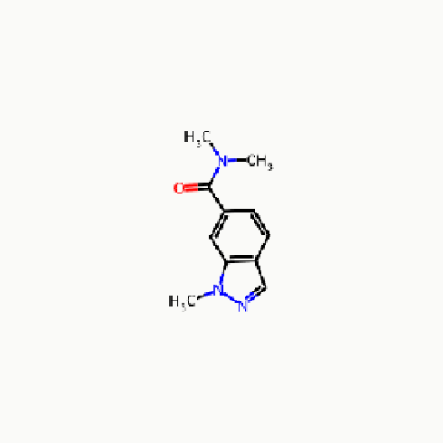 CN(C)C(=O)c1ccc2cnn(C)c2c1